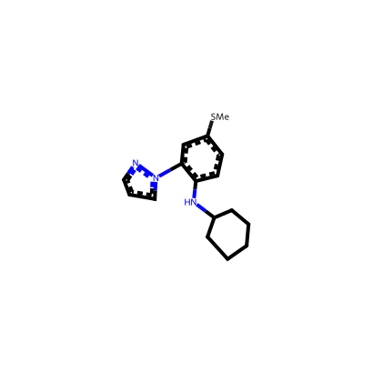 CSc1ccc(NC2CCCCC2)c(-n2cccn2)c1